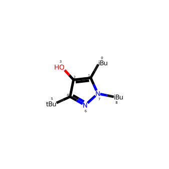 CCC(C)c1c(O)c(C(C)(C)C)nn1C(C)CC